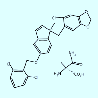 C[C@](N)(C(N)=O)C(=O)O.C[N+]1(Cc2cc3c(cc2Cl)OCO3)C=Cc2cc(OCc3c(Cl)cccc3Cl)ccc21